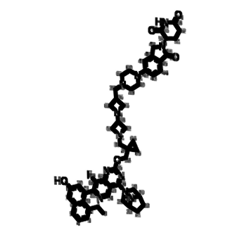 CCc1cccc2cc(O)cc(-c3ncc4c(N5CC6CCC(C5)N6)nc(OCC5(CN6CC(N7CC(CN8CCN(c9ccc%10c(c9)CN([C@H]9CCC(=O)NC9=O)C%10=O)CC8)C7)C6)CC5)nc4c3F)c12